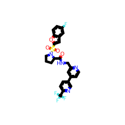 O=C(NCc1cc(-c2ccc(C(F)(F)F)nc2)ccn1)C1CCCN1S(=O)(=O)c1cc2cc(F)ccc2o1